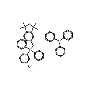 CC1(C)CC(C)(C)c2cc(C[P+](c3ccccc3)(c3ccccc3)c3ccccc3)ccc21.[Cl-].c1ccc(P(c2ccccc2)c2ccccc2)cc1